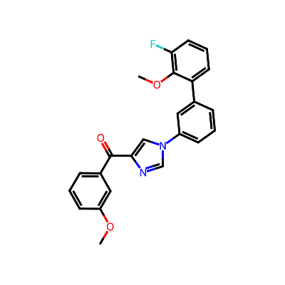 COc1cccc(C(=O)c2cn(-c3cccc(-c4cccc(F)c4OC)c3)cn2)c1